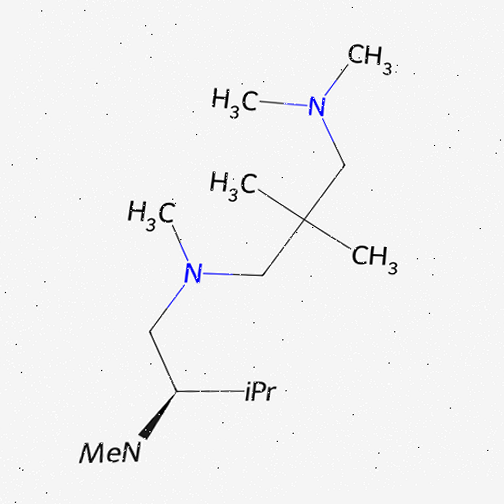 CN[C@@H](CN(C)CC(C)(C)CN(C)C)C(C)C